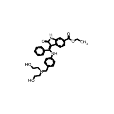 CCOC(=O)c1ccc2c(c1)NC(=O)C2=C(Nc1ccc(CN(CCO)CCO)cc1)c1ccccc1